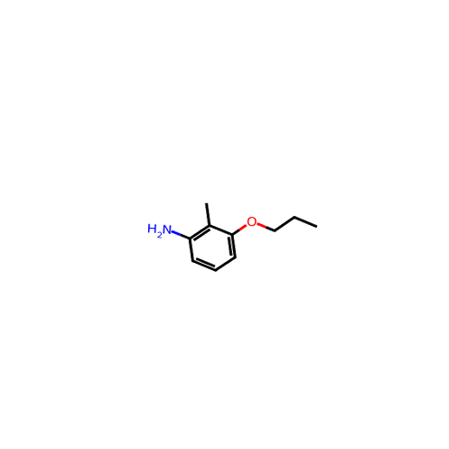 CCCOc1cccc(N)c1C